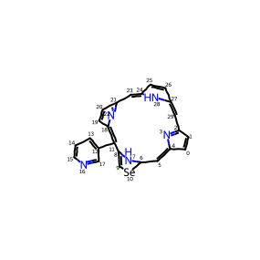 C1=CC2=NC1=CC1NC(=C[Se]1)C(c1cccnc1)=C1C=CC(=N1)C=c1ccc([nH]1)=C2